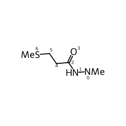 CNNC(=O)CCSC